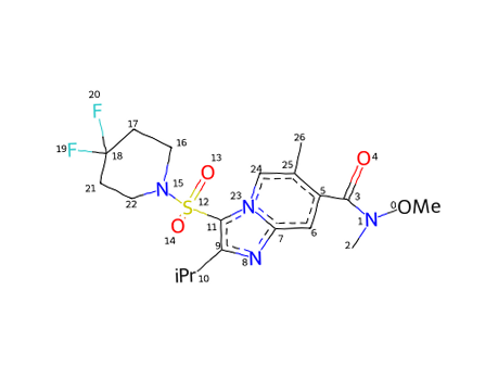 CON(C)C(=O)c1cc2nc(C(C)C)c(S(=O)(=O)N3CCC(F)(F)CC3)n2cc1C